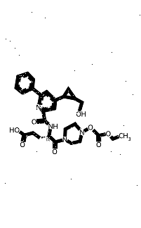 CCOC(=O)ON1CCN(C(=O)[C@H](CCC(=O)O)NC(=O)c2cc(C3CC3CO)cc(-c3ccccc3)n2)CC1